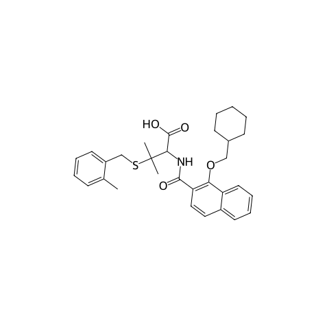 Cc1ccccc1CSC(C)(C)C(NC(=O)c1ccc2ccccc2c1OCC1CCCCC1)C(=O)O